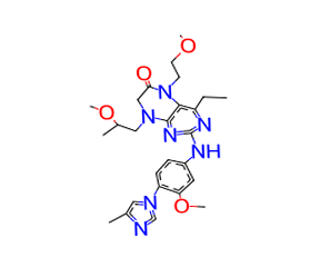 CCc1nc(Nc2ccc(-n3cnc(C)c3)c(OC)c2)nc2c1N(CCOC)C(=O)CN2CC(C)OC